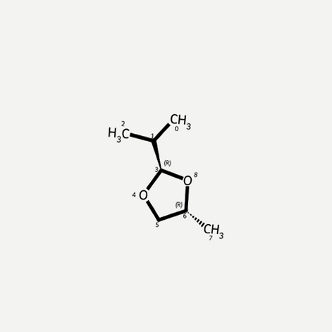 CC(C)[C@@H]1OC[C@@H](C)O1